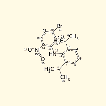 CC(C)c1cccc(C(C)C)c1Nc1c([N+](=O)[O-])ccc(Br)c1F